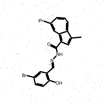 Cc1cc(C(=O)N/N=C/c2cc(Br)ccc2O)c2cc(C(C)C)cccc1-2